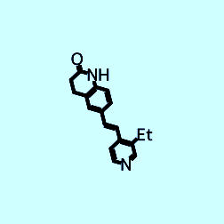 CCc1cnccc1/C=C/c1ccc2c(c1)CCC(=O)N2